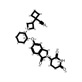 N#CC1(C2CN([C@H]3CCCC[C@H]3Oc3ccc4c(c3)CN(C3CCC(=O)NC3=O)C4=O)C2)CCC1